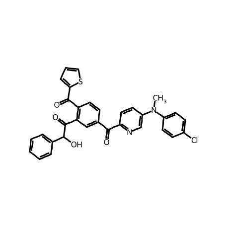 CN(c1ccc(Cl)cc1)c1ccc(C(=O)c2ccc(C(=O)c3cccs3)c(C(=O)C(O)c3ccccc3)c2)nc1